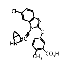 C#Cn1c(Oc2ccc(C)c(C(=O)O)c2)nc2ccc(Cl)cc21.C1NC2CC12